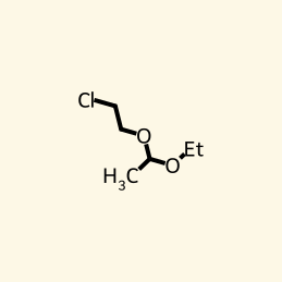 CCOC(C)OCCCl